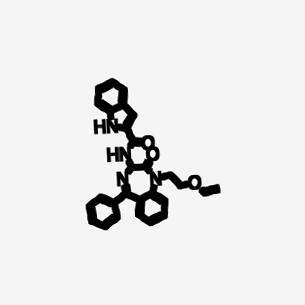 C=COCCN1C(=O)C(NC(=O)c2cc3ccccc3[nH]2)N=C(c2ccccc2)c2ccccc21